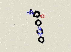 CNc1ccc(OC)c([C@H]2CC[C@H](N3CCN(C4CCCCC4)CC3)CC2)c1